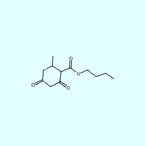 CCCCOC(=O)C1C(=O)CC(=O)CC1C